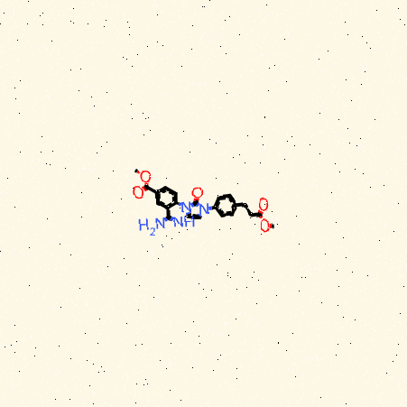 COC(=O)CCc1ccc(-n2ccn(-c3ccc(C(=O)OC)cc3C(=N)N)c2=O)cc1